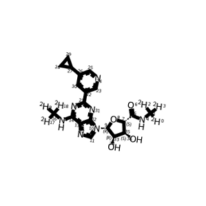 [2H]C([2H])([2H])NC(=O)[C@H]1O[C@@H](n2cnc3c(NC([2H])([2H])[2H])nc(-c4cncc(C5CC5)c4)nc32)[C@H](O)[C@@H]1O